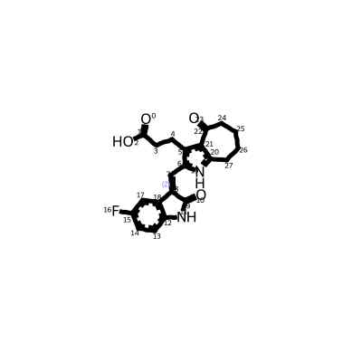 O=C(O)CCc1c(/C=C2\C(=O)Nc3ccc(F)cc32)[nH]c2c1C(=O)CCCC2